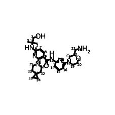 CC(C)(CO)Nc1ccc(C(=O)Nc2cccc(N3CCOC(CN)C3)n2)c(N2CCC3(CC2)CC3)n1